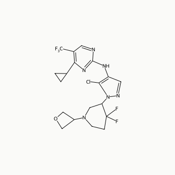 FC(F)(F)c1cnc(Nc2cnn(C3CN(C4COC4)CCC3(F)F)c2Cl)nc1C1CC1